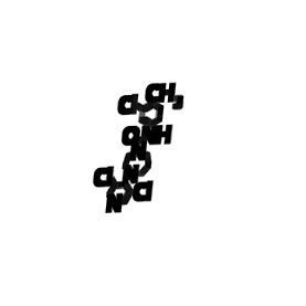 Cc1ccc(NC(=O)N2CCCN(c3c(Cl)cncc3Cl)CC2)cc1Cl